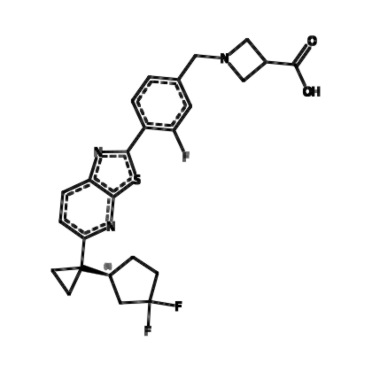 O=C(O)C1CN(Cc2ccc(-c3nc4ccc(C5([C@H]6CCC(F)(F)C6)CC5)nc4s3)c(F)c2)C1